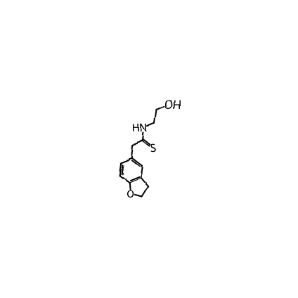 OCCNC(=S)Cc1ccc2c(c1)CCO2